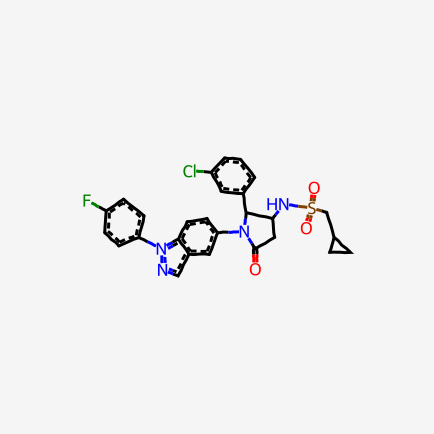 O=C1CC(NS(=O)(=O)CC2CC2)C(c2cccc(Cl)c2)N1c1ccc2c(cnn2-c2ccc(F)cc2)c1